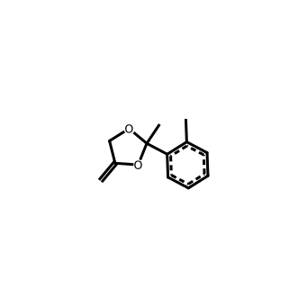 C=C1COC(C)(c2ccccc2C)O1